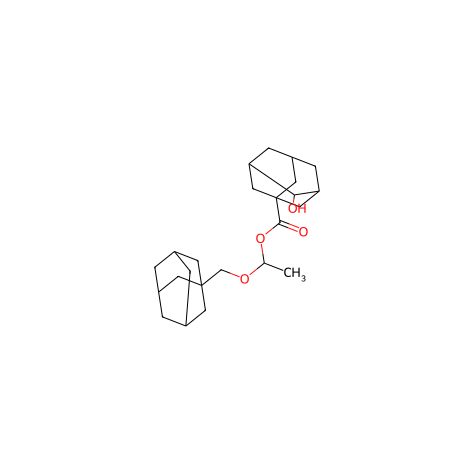 CC(OCC12CC3CC(CC(C3)C1)C2)OC(=O)C12CC3CC(C1)C(O)C(C3)C2